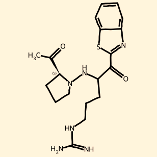 CC(=O)[C@@H]1CCCN1NC(CCCNC(=N)N)C(=O)c1nc2ccccc2s1